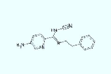 N#CNC(=NCCc1ccccc1)c1ccc(N)cn1